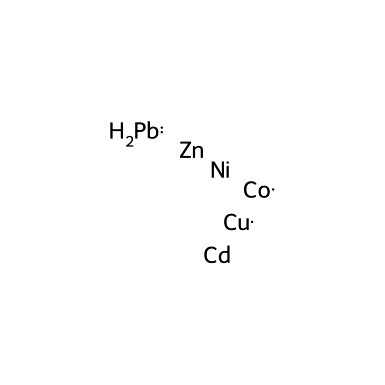 [Cd].[Co].[Cu].[Ni].[PbH2].[Zn]